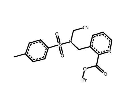 Cc1ccc(S(=O)(=O)N(CC#N)Cc2cccnc2C(=O)OC(C)C)cc1